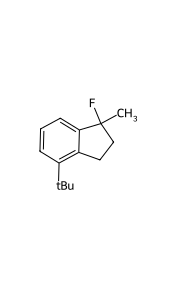 CC(C)(C)c1cccc2c1CCC2(C)F